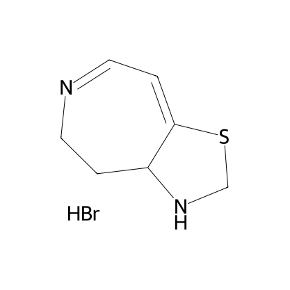 Br.C1=NCCC2NCSC2=C1